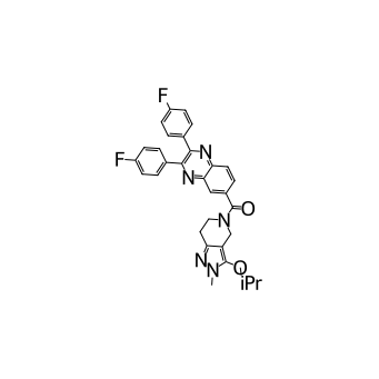 CC(C)Oc1c2c(nn1C)CCN(C(=O)c1ccc3nc(-c4ccc(F)cc4)c(-c4ccc(F)cc4)nc3c1)C2